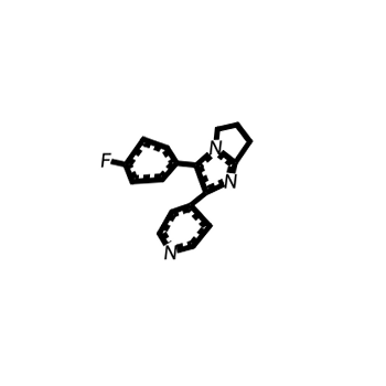 Fc1ccc(-c2c(-c3ccncc3)nc3n2CCC3)cc1